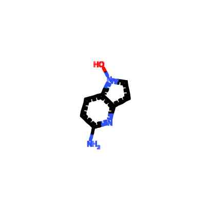 Nc1ccc2c(ccn2O)n1